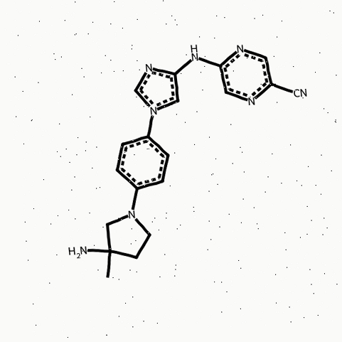 CC1(N)CCN(c2ccc(-n3cnc(Nc4cnc(C#N)cn4)c3)cc2)C1